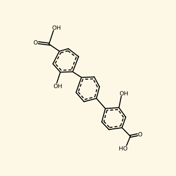 O=C(O)c1ccc(-c2ccc(-c3ccc(C(=O)O)cc3O)cc2)c(O)c1